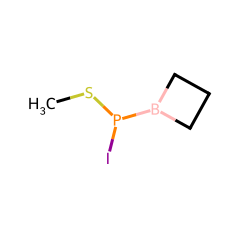 CSP(I)B1CCC1